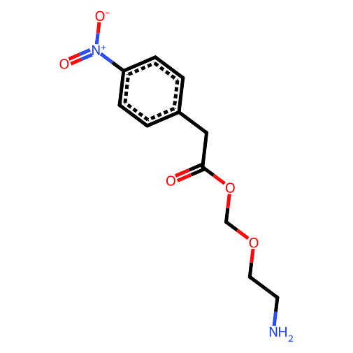 NCCOCOC(=O)Cc1ccc([N+](=O)[O-])cc1